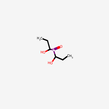 CCC(O)[P](=O)C(O)CC